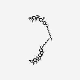 CCOc1ccc(OC(F)(F)c2ccc(-c3ccc(OCCCCCCCCC(CC)CCCCCCCCOc4ccc(-c5ccc(OC(F)(F)c6ccc(OCC)c(F)c6F)cc5F)c(F)c4)cc3)c(F)c2)c(F)c1F